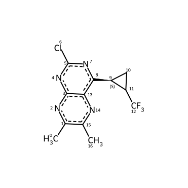 Cc1nc2nc(Cl)nc([C@H]3CC3C(F)(F)F)c2nc1C